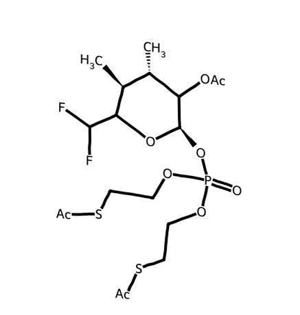 CC(=O)OC1[C@@H](OP(=O)(OCCSC(C)=O)OCCSC(C)=O)OC(C(F)F)[C@@H](C)[C@@H]1C